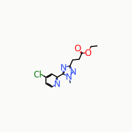 CCOC(=O)CCc1nc(-c2cc(Cl)ccn2)n(C)n1